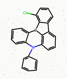 Clc1cccc2c1B1c3ccccc3N(c3ccccc3)c3cccc-2c31